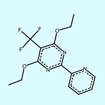 CCOc1nc(-c2ccccn2)nc(OCC)c1C(F)(F)F